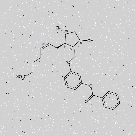 O=C(O)CCC/C=C\C[C@@H]1[C@@H](COc2cccc(OC(=O)c3ccccc3)c2)[C@H](O)C[C@H]1Cl